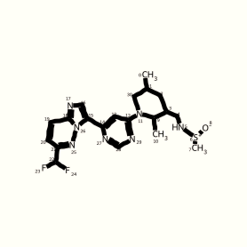 CC1CC(CN[S+](C)[O-])C(C)N(c2cc(-c3cnc4ccc(C(F)F)nn34)ncn2)C1